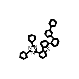 c1ccc(-c2cccc(-c3ccccc3-c3cccc4c3sc3cccc(-c5nc(-c6ccccc6)nc(-c6ccccc6)n5)c34)c2)cc1